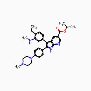 CCc1ccc(-c2c(-c3ccc(N4CCN(C)CC4)cc3)[nH]c3ncc(C(=O)OC(C)C)cc23)cc1NC